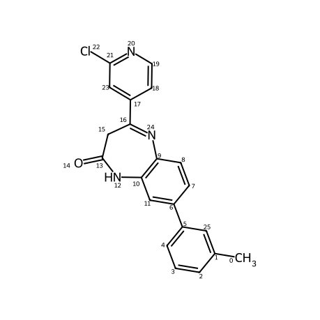 Cc1cccc(-c2ccc3c(c2)NC(=O)CC(c2ccnc(Cl)c2)=N3)c1